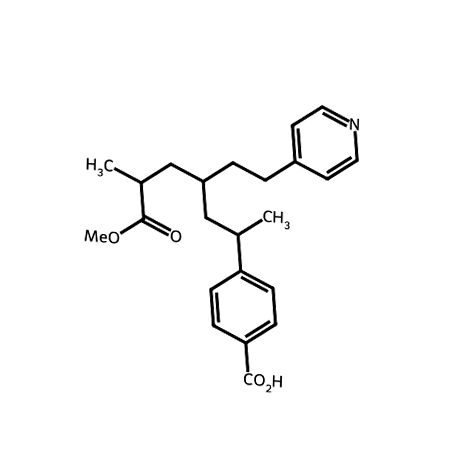 COC(=O)C(C)CC(CCc1ccncc1)CC(C)c1ccc(C(=O)O)cc1